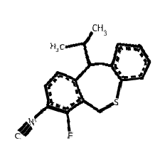 [C-]#[N+]c1ccc2c(c1F)CSc1ccccc1C2C(C)C